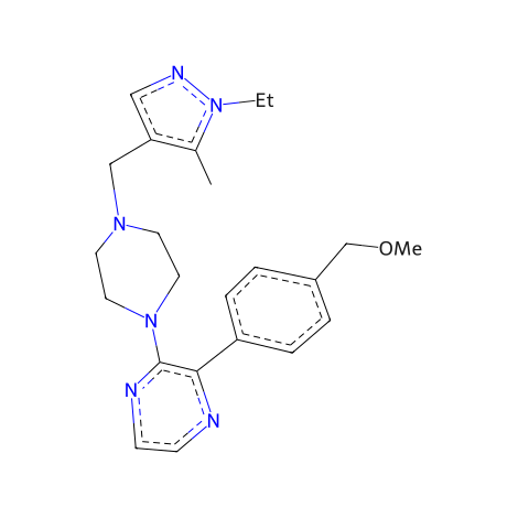 CCn1ncc(CN2CCN(c3nccnc3-c3ccc(COC)cc3)CC2)c1C